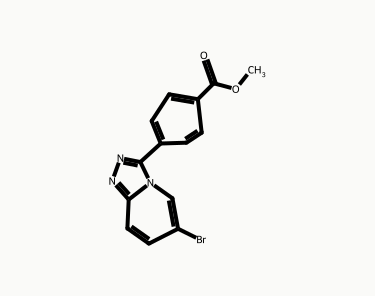 COC(=O)c1ccc(-c2nnc3ccc(Br)cn23)cc1